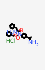 Cl.NC1CC1c1ccc(N(C(=O)OCc2ccccc2)C(=O)[C@@H](N)Cc2ccccc2)cc1